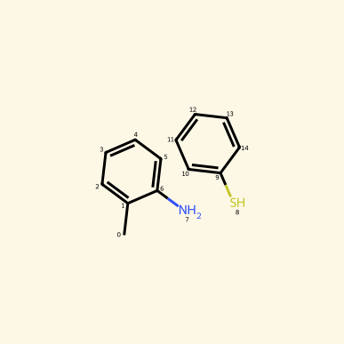 Cc1ccccc1N.Sc1ccccc1